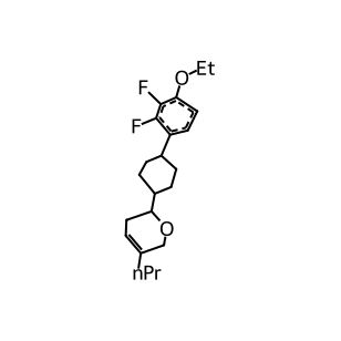 CCCC1=CCC(C2CCC(c3ccc(OCC)c(F)c3F)CC2)OC1